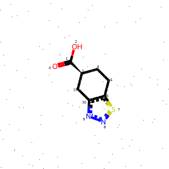 O=C(O)[C@H]1CCc2snnc2C1